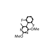 COc1nc(C)c(-c2c(F)cccc2F)c(OC)n1